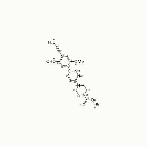 CC#Cc1cc(OC)c(-c2ccc(N3CCN(C(=O)OC(C)(C)C)CC3)nn2)cc1C=O